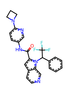 O=C(Nc1ccc(N2CCC2)nc1)c1cc2ccncc2n1C(c1ccccc1)C(F)(F)F